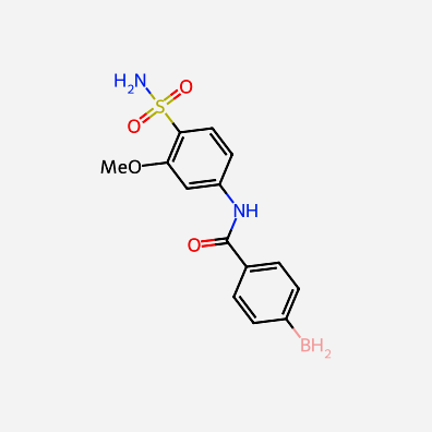 Bc1ccc(C(=O)Nc2ccc(S(N)(=O)=O)c(OC)c2)cc1